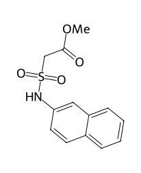 COC(=O)CS(=O)(=O)Nc1ccc2ccccc2c1